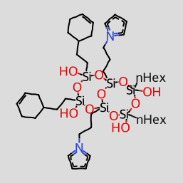 CCCCCC[Si]1(O)O[Si](O)(CCCCCC)O[Si]2(CCCn3cccc3)O[Si](O)(CCC3CC=CCC3)O[Si](O)(CCC3CC=CCC3)O[Si](CCCn3cccc3)(O1)O2